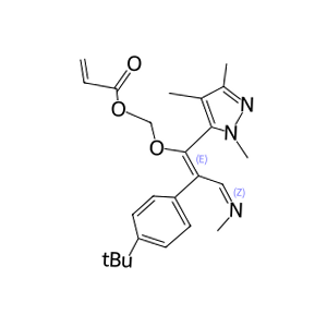 C=CC(=O)OCO/C(=C(/C=N\C)c1ccc(C(C)(C)C)cc1)c1c(C)c(C)nn1C